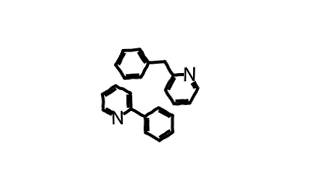 c1ccc(-c2ccccn2)cc1.c1ccc(Cc2ccccn2)cc1